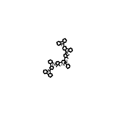 Cc1c(-c2cc(-c3ccc(-n4c5ccccc5c5cc(-n6c7ccccc7c7ccccc76)ccc54)c(C)c3C)nc(-c3ccccc3)n2)ccc(-n2c3ccccc3c3cc(-n4c5ccccc5c5ccccc54)ccc32)c1C